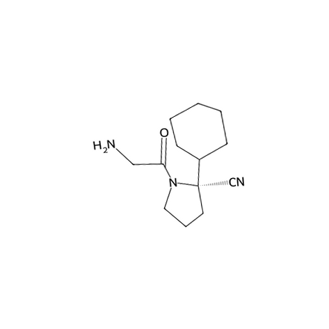 N#C[C@]1(C2CCCCC2)CCCN1C(=O)CN